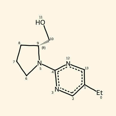 CCc1cnc(N2CCC[C@@H]2CO)nc1